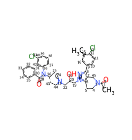 CC(=O)N1CCc2c(c(-c3ccc(Cl)c(C)c3)nn2CC(O)CN2CCC(N(C(=O)c3ccccc3)c3cccc(Cl)c3)CC2)C1